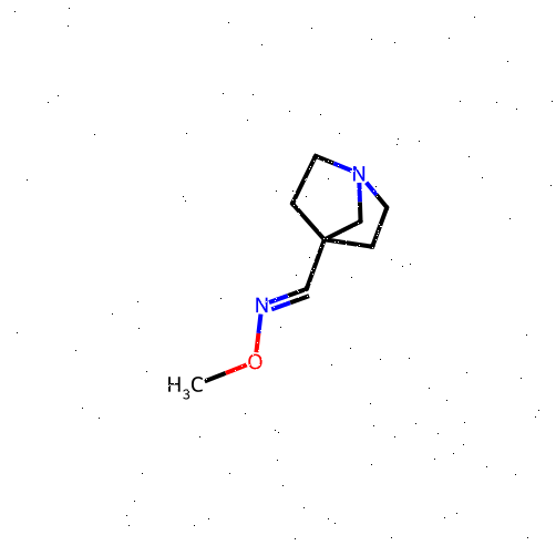 CON=CC12CCN(CC1)C2